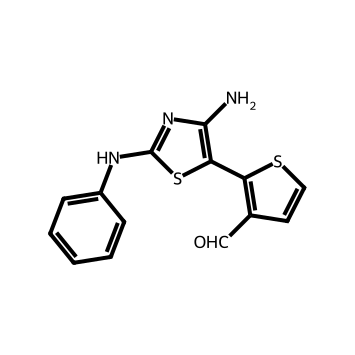 Nc1nc(Nc2ccccc2)sc1-c1sccc1C=O